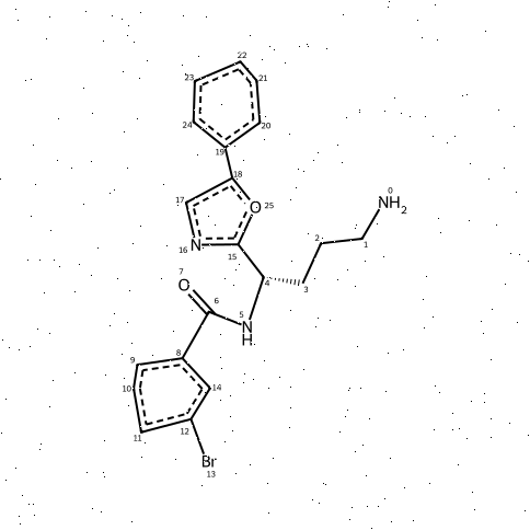 NCCC[C@H](NC(=O)c1cccc(Br)c1)c1ncc(-c2ccccc2)o1